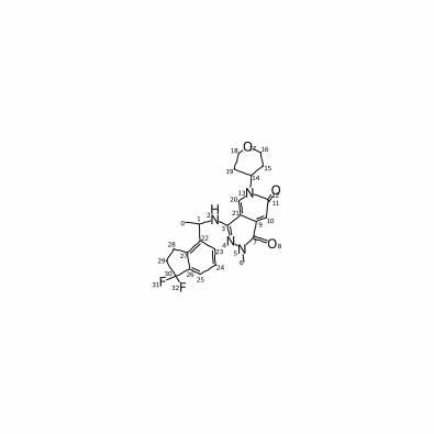 CC(Nc1nn(C)c(=O)c2cc(=O)n(C3CCOCC3)cc12)c1cccc2c1CCC2(F)F